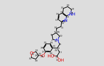 OC(O)C[C@H](CN1CC[C@@H](CCc2ccc3c(n2)NCCC3)C1)c1cccc(O[C@H]2CCOC2)c1